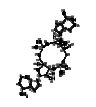 Nc1ncnc2c1ncn2[C@@H]1O[C@@H]2COP(=O)(S)O[C@@H]3[C@H](O)[C@@H](COP(=O)(S)O[C@H]2[C@H]1O)O[C@H]3n1cnc2c(=O)[nH]ncc21